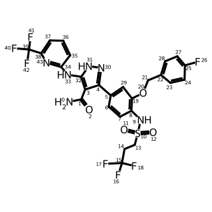 NC(=O)c1c(-c2ccc(NS(=O)(=O)CCC(F)(F)F)c(OCc3ccc(F)cc3)c2)n[nH]c1Nc1cccc(C(F)(F)F)n1